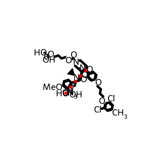 COc1ccc(CN(C(=O)C2=C(c3ccc(OCCCCOc4c(Cl)cc(C)cc4Cl)cc3)CC3CN(C(=O)OCCCCON(O)O)CC2N3C(=O)OCCCCON(O)O)C2CC2)cc1C